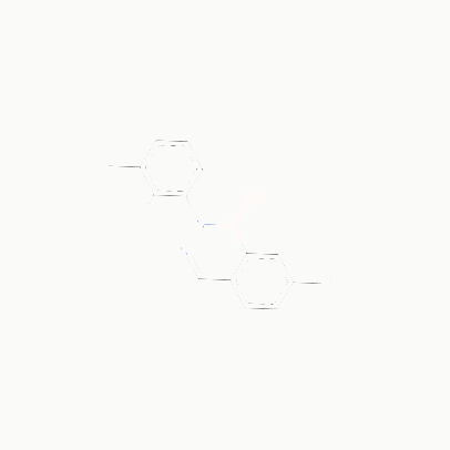 Cc1cccc(N2N=Cc3ccc(C(F)(F)F)cc3B2O)c1S